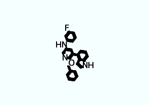 Fc1cccc(Nc2cnc(OCc3ccccc3)c(-c3cccc4[nH]ccc34)c2)c1